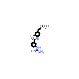 N=C(N)Nc1cccc(C(=O)Nc2ccc(/C=C/C(=O)O)cc2Cl)c1